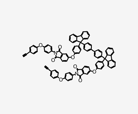 C#Cc1ccc(Oc2ccc(N3C(=O)c4ccc(Oc5ccc(C6(c7ccc(-c8ccc(C9(c%10ccc(Oc%11ccc%12c(c%11)C(=O)N(c%11ccc(Oc%13ccc(C#C)cc%13)cc%11)C%12=O)cc%10)c%10ccccc%10-c%10ccccc%109)cc8)cc7)c7ccccc7-c7ccccc76)cc5)cc4C3=O)cc2)cc1